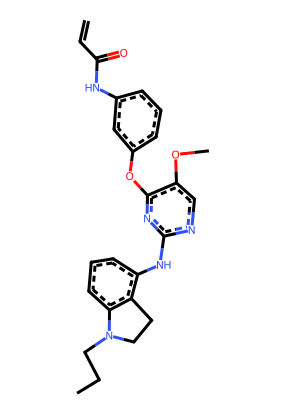 C=CC(=O)Nc1cccc(Oc2nc(Nc3cccc4c3CCN4CCC)ncc2OC)c1